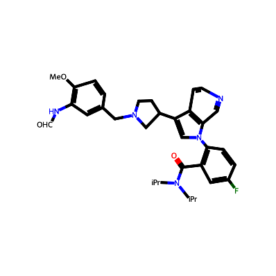 COc1ccc(CN2CCC(c3cn(-c4ccc(F)cc4C(=O)N(C(C)C)C(C)C)c4cnccc34)C2)cc1NC=O